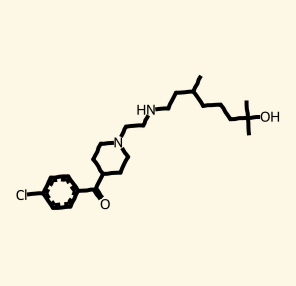 CC(CCCC(C)(C)O)CCNCCN1CCC(C(=O)c2ccc(Cl)cc2)CC1